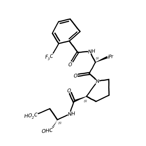 CC(C)[C@H](NC(=O)c1ccccc1C(F)(F)F)C(=O)N1CCC[C@H]1C(=O)N[C@H](C=O)CC(=O)O